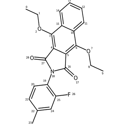 CCOc1c2c(c(OCC)c3ccccc13)C(=O)N(c1ccc(C)cc1F)C2=O